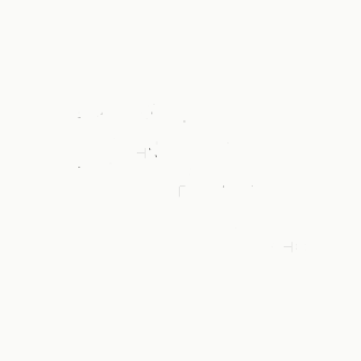 O=Cc1ccc(-c2[c]ccc(NC(=O)c3ccccc3)c2F)cc1